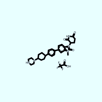 Cn1c(=O)n(C2CCC(=O)NC2=O)c2ccc(-c3ccc(C4CCC(N5CCNCC5)CC4)cc3)cc21.O=C(O)C(F)(F)F